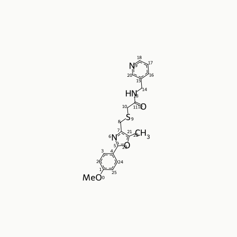 COc1ccc(-c2nc(CSCC(=O)NCc3cccnc3)c(C)o2)cc1